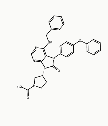 O=C(O)N1CC[C@@H](n2c(=O)n(-c3ccc(Oc4ccccc4)cc3)c3c(NCc4ccccc4)ncnc32)C1